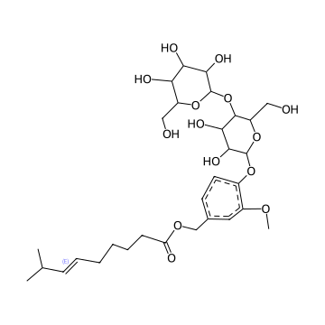 COc1cc(COC(=O)CCCC/C=C/C(C)C)ccc1OC1OC(CO)C(OC2OC(CO)C(O)C(O)C2O)C(O)C1O